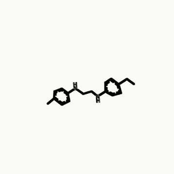 CCc1ccc(NCCNc2ccc(C)cc2)cc1